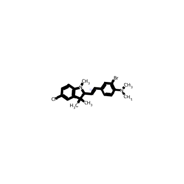 CN(C)c1ccc(/C=C/C2N(C)c3ccc(Cl)cc3C2(C)C)cc1Br